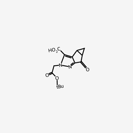 CC(C)(C)OC(=O)Cn1nc2c(c1C(=O)O)C1CC1C2=O